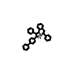 c1ccc(-c2ccc(-c3nn4c(-c5ccccc5)cc5ccccc5c4c3-c3ccccc3)cc2)cc1